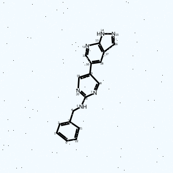 c1ccc(CNc2ncc(-c3cnc4[nH]ncc4c3)cn2)cc1